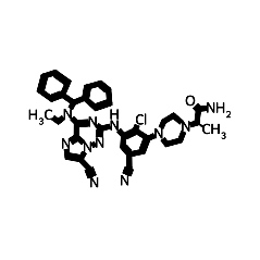 CCN(c1nc(Nc2cc(C#N)cc(N3CCN([C@@H](C)C(N)=O)CC3)c2Cl)nn2c(C#N)cnc12)C(c1ccccc1)c1ccccc1